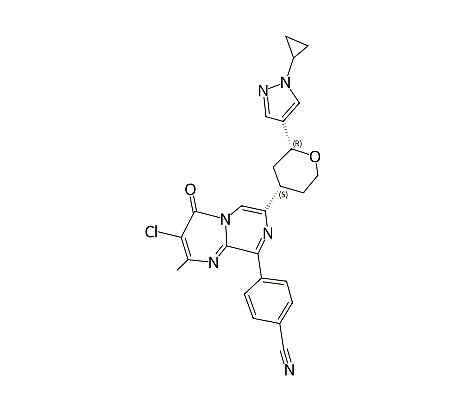 Cc1nc2c(-c3ccc(C#N)cc3)nc([C@H]3CCO[C@@H](c4cnn(C5CC5)c4)C3)cn2c(=O)c1Cl